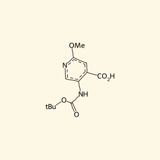 COc1cc(C(=O)O)c(NC(=O)OC(C)(C)C)cn1